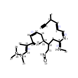 C#CC(C)/C=C/C=N\C(CC(CN=O)[C@@H](C)C/C=C\C(=C)/C(C)=C/N(C)N(C)C)=N/C